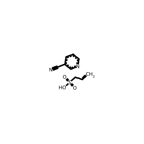 C=CCS(=O)(=O)O.N#Cc1cccnc1